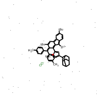 Cc1ccc(C(c2ccc(C)cc2)=c2c(C(C)(C)C)cc3c(c2C2=CC(C4C5CC6CC(C5)CC4C6)=CC2C)[C]([Zr+2])=c2ccc(C(C)(C)C)cc2=3)cc1.[Cl-].[Cl-]